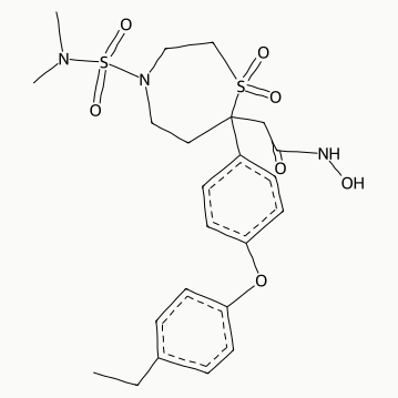 CCc1ccc(Oc2ccc(C3(CC(=O)NO)CCN(S(=O)(=O)N(C)C)CCS3(=O)=O)cc2)cc1